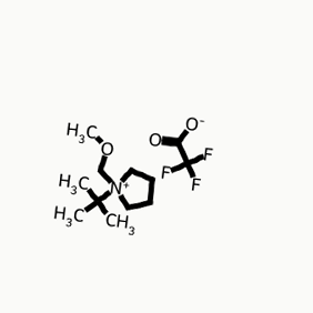 COC[N+]1(C(C)(C)C)CCCC1.O=C([O-])C(F)(F)F